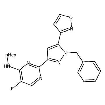 CCCCCCNc1nc(-c2cc(-c3ccon3)n(Cc3ccccc3)n2)ncc1F